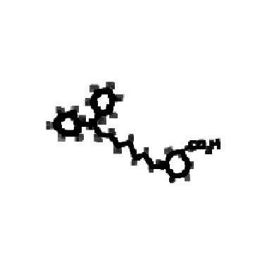 O=C(O)[C@@H]1CCCN(CCCCCCCN(c2ccccc2)c2ccccc2)C1